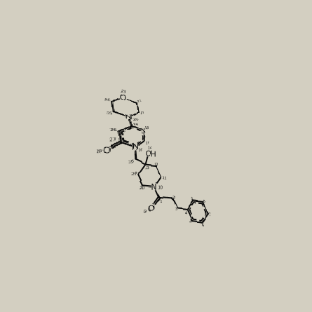 O=C(CCc1ccccc1)N1CCC(O)(Cn2cnc(N3CCOCC3)cc2=O)CC1